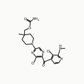 CNc1nccc(C(=O)c2ncc(N3CCC(C)(COC(N)=O)CC3)nc2Cl)c1Cl